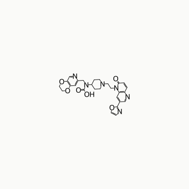 O=C(O)N(Cc1cc2c(cn1)OCCO2)C1CCN(CCn2c(=O)ccc3ncc(-c4ncco4)cc32)CC1